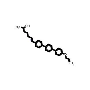 C=CCOc1ccc(-c2ccc(-c3ccc(/C=C/CCCC(C)O)cc3)cc2)cc1